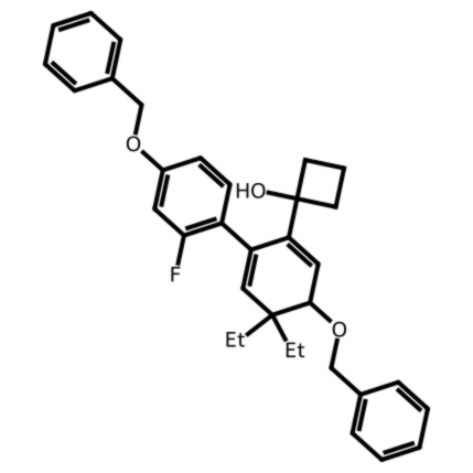 CCC1(CC)C=C(c2ccc(OCc3ccccc3)cc2F)C(C2(O)CCC2)=CC1OCc1ccccc1